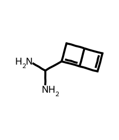 NC(N)C1=C2C=CC2C1